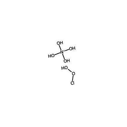 OOCl.O[N+](O)(O)O